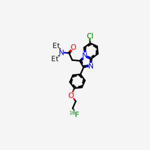 CCN(CC)C(=O)Cc1c(-c2ccc(OCC[18F])cc2)nc2ccc(Cl)cn12